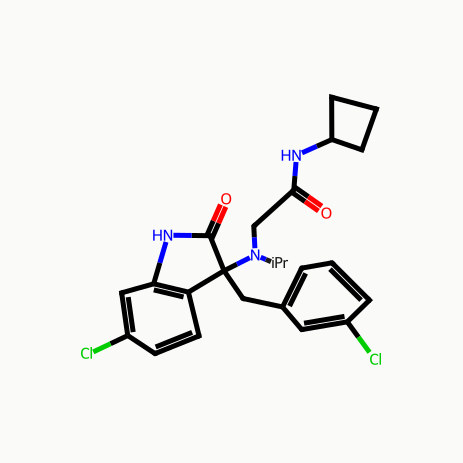 CC(C)N(CC(=O)NC1CCC1)C1(Cc2cccc(Cl)c2)C(=O)Nc2cc(Cl)ccc21